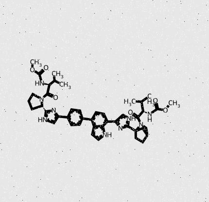 COC(=O)N[C@H](C(=O)N1CCC[C@H]1c1nc(-c2ccc(-c3ccc(-c4c[nH]c(C56CCC(CN5C(=O)[C@@H](NC(=O)OC)C(C)C)C6)n4)c4[nH]ccc34)cc2)c[nH]1)C(C)C